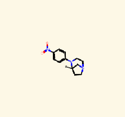 O=[N+]([O-])c1ccc(N2CCN3CC[C@H]2C3)cc1